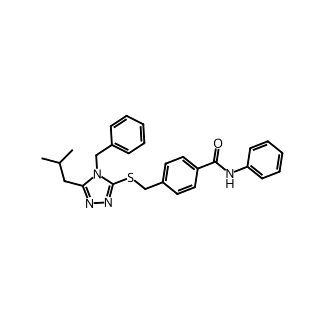 CC(C)Cc1nnc(SCc2ccc(C(=O)Nc3ccccc3)cc2)n1Cc1ccccc1